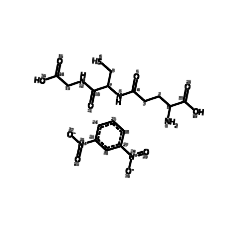 NC(CCC(=O)NC(CS)C(=O)NCC(=O)O)C(=O)O.O=[N+]([O-])c1cccc([N+](=O)[O-])c1